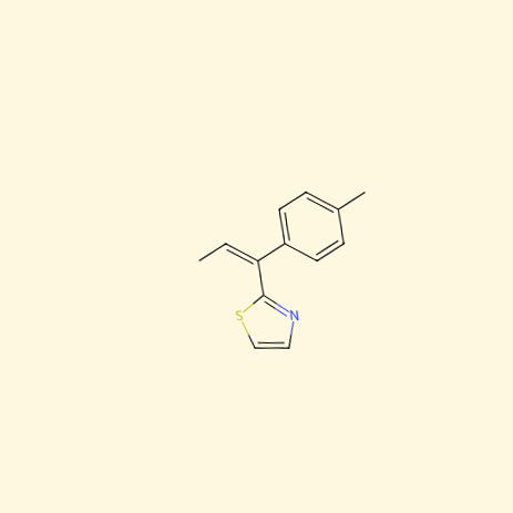 CC=C(c1ccc(C)cc1)c1nccs1